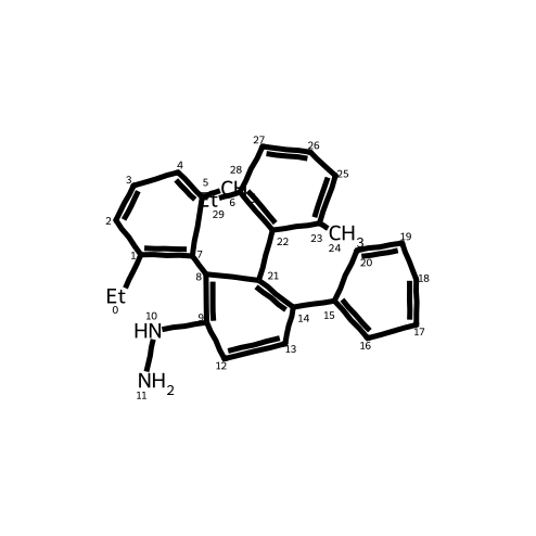 CCc1cccc(C)c1-c1c(NN)ccc(-c2ccccc2)c1-c1c(C)cccc1CC